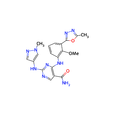 COc1c(Nc2nc(Nc3cnn(C)c3)ncc2C(N)=O)cccc1-c1nnc(C)o1